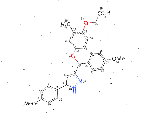 COc1ccc(-c2cc(C(Oc3ccc(OCC(=O)O)c(C)c3)c3ccc(OC)cc3)n[nH]2)cc1